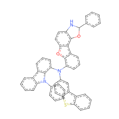 c1ccc(C2Nc3ccc4oc5c(N(c6ccc7sc8ccccc8c7c6)c6cccc7c8ccccc8n(-c8ccccc8)c67)cccc5c4c3O2)cc1